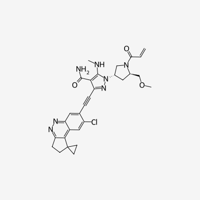 C=CC(=O)N1C[C@@H](n2nc(C#Cc3cc4nnc5c(c4cc3Cl)C3(CC5)CC3)c(C(N)=O)c2NC)C[C@@H]1COC